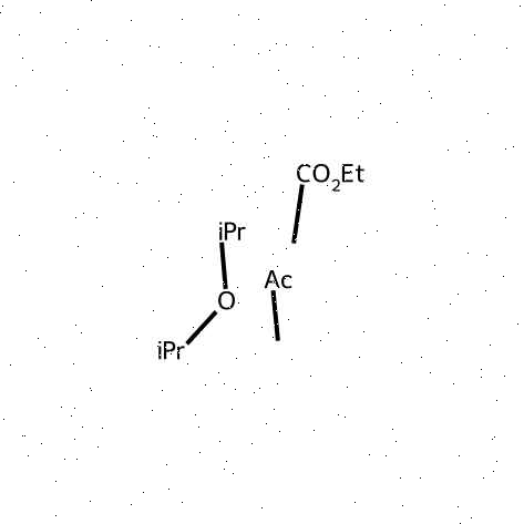 CC(C)=O.CC(C)OC(C)C.CCOC(C)=O